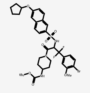 COc1cc(C(F)(F)C(NS(=O)(=O)c2ccc3cc(OC4CCCC4)ccc3c2)C(=O)N2CCC(NC(=O)OC(C)(C)C)CC2)ccc1Br